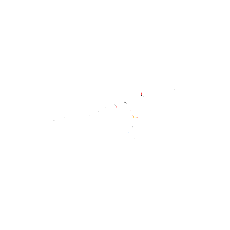 CCCCCCCCCCCCCCCCCCCCCCCC(=O)O[C@H](COC(=O)CCCCCCCCCCCCCCCCC)COP(=O)([O-])OCC[N+](C)(C)C